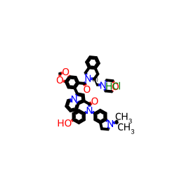 CC(C)N1CCc2cc(N(C(=O)c3cc(-c4cc5c(cc4C(=O)N4Cc6ccccc6C[C@H]4CN4CCOCC4)OCO5)n4ccccc34)c3ccc(O)cc3)ccc21.Cl